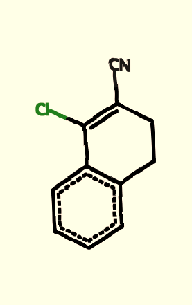 N#CC1=C(Cl)c2ccccc2CC1